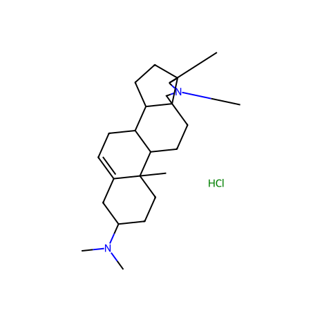 CC1C2CCC3C4CC=C5CC(N(C)C)CCC5(C)C4CCC32CN1C.Cl